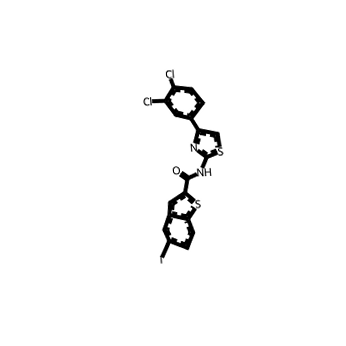 O=C(Nc1nc(-c2ccc(Cl)c(Cl)c2)cs1)c1cc2cc(I)ccc2s1